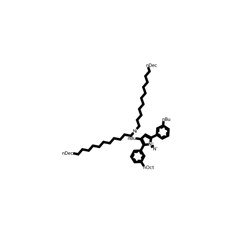 CCCCCCCCCCCCCCCCCCCC[CH2][Ni][CH2]CCCCCCCCCCCCCCCCCCCC.CCCCCCCCc1cccc(C2=C(CCCC)C=C(c3cccc(CCCC)c3)[N+]2=[N-])c1